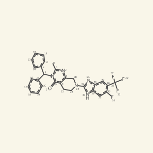 Cc1nc2c(c(=O)n1C(c1ccccc1)c1ccccc1)CCN(c1nc3cc(C(F)(F)F)c(F)cc3[nH]1)C2